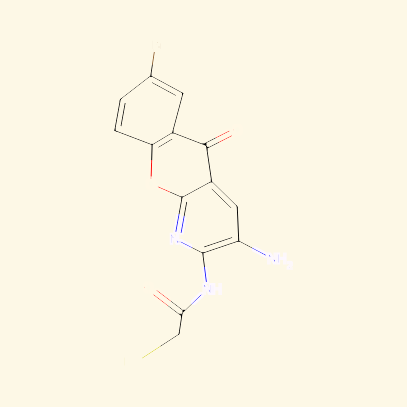 Nc1cc2c(=O)c3cc(Br)ccc3oc2nc1NC(=O)CS